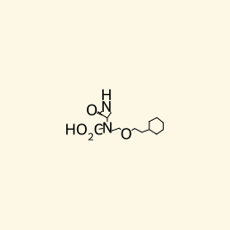 O=C1NCC1N(CCOCCC1CCCCC1)C(=O)O